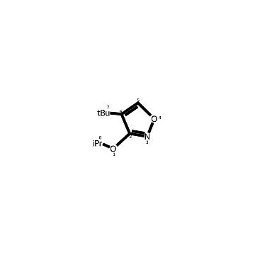 CC(C)Oc1nocc1C(C)(C)C